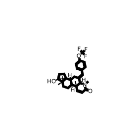 CN1C(=O)C=C[C@]2(C)[C@H]3CC[C@]4(C)[C@@H](O)CC[C@H]4[C@@H]3CC(=Cc3ccc(OC(F)(F)F)cc3)[C@@H]12